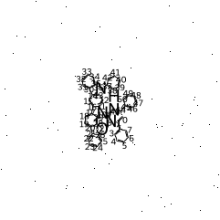 C1=C(c2ccccc2)N=C(n2c3cc4c(cc3c3ccc5c6ccccc6oc5c32)c2ccccc2n4-c2ccccc2)NC1c1ccccc1